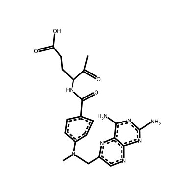 CC(=O)C(CCC(=O)O)NC(=O)c1ccc(N(C)Cc2cnc3nc(N)nc(N)c3n2)cc1